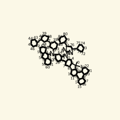 CC1(C)c2cc3c(cc2-c2ccc4c5ccccc5c5ccccc5c4c21)c1ccc(N(c2cccc(-c4cccc(-c5ccccc5)c4)c2)c2c4ccccc4cc4ccccc24)cc1n3-c1nc(-c2ccccc2)cc(-c2ccccc2)n1